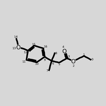 CCOC(=O)CC(C)(C)c1ccc(OC)cc1